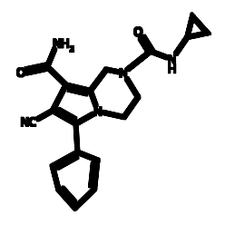 N#Cc1c(C(N)=O)c2n(c1-c1ccccc1)CCN(C(=O)NC1CC1)C2